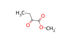 [CH2]OC(=O)C(=O)CC